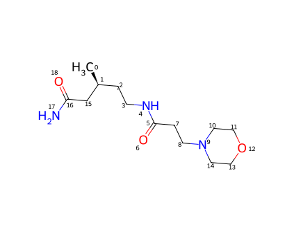 C[C@@H]([CH]CNC(=O)CCN1CCOCC1)CC(N)=O